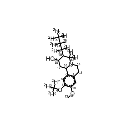 [2H]C([2H])([2H])Oc1cc2c(cc1OC)CCN1C2CC(O)C(C([2H])([2H])C([2H])(C)C([2H])([2H])[2H])C1([2H])[2H]